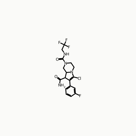 NC(=O)C1C(c2cccc(F)c2)=C(Cl)N2CCN(C(=O)NCC(F)(F)F)CC12